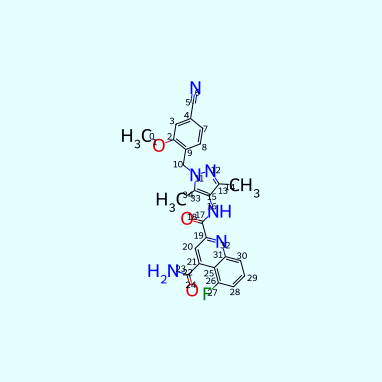 COc1cc(C#N)ccc1Cn1nc(C)c(NC(=O)c2cc(C(N)=O)c3c(F)cccc3n2)c1C